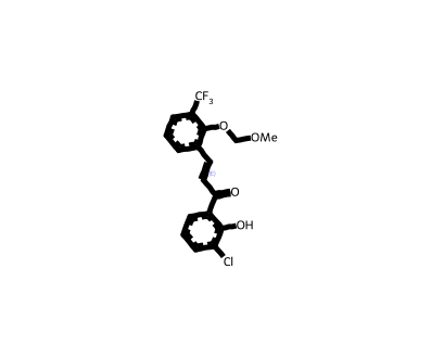 COCOc1c(/C=C/C(=O)c2cccc(Cl)c2O)cccc1C(F)(F)F